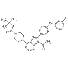 CC(C)(C)OC(=O)N1CCC(c2ccnc3c(C(N)=O)n(-c4ccc(Oc5cccc(F)c5)cc4)nc23)CC1